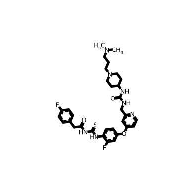 CN(C)CCCN1CCC(NC(=O)NCc2cc(Oc3ccc(NC(=S)NC(=O)Cc4ccc(F)cc4)c(F)c3)ccn2)CC1